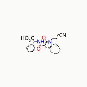 N#CCCCn1c2c(cc(C(=O)NC(C(=O)O)c3ccccc3)c1=O)CCCCCC2